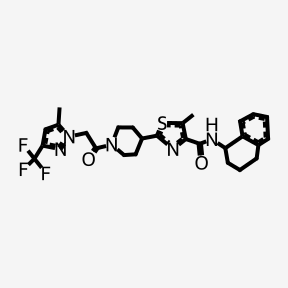 Cc1sc(C2CCN(C(=O)Cn3nc(C(F)(F)F)cc3C)CC2)nc1C(=O)NC1CCCc2ccccc21